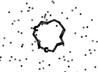 [CH]1/C=C/CC/C=C/C=C/CC/C=C/C1